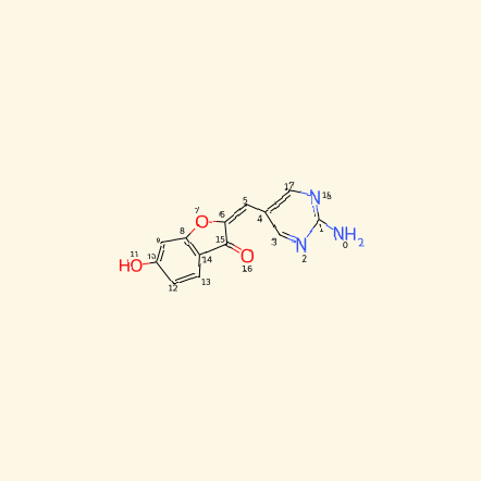 Nc1ncc(C=C2Oc3cc(O)ccc3C2=O)cn1